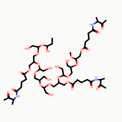 CCC(O)OC(CO)OCC(COC(=O)CCCC(=O)NC(C)C(C)=O)OC(CO)OCC(CO)OC(CO)OCC(COC(=O)CCCC(=O)NC(C)C(C)=O)OC(CO)OCC(CO)OC(COC(=O)CCCC(=O)NC(C)C(C)=O)OC